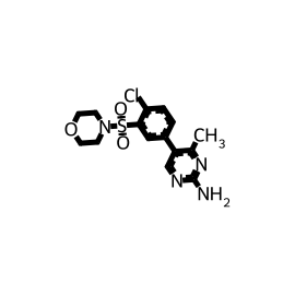 Cc1nc(N)ncc1-c1ccc(Cl)c(S(=O)(=O)N2CCOCC2)c1